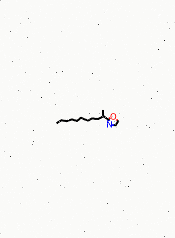 CCCCCCCCCC(C)C1=NCCO1